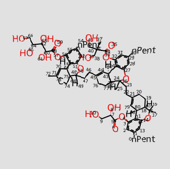 CCCCCc1cc(OC(=O)[C@@H](O)CO)c2c(c1)OC(C)(C)[C@@H]1CCC(CCC3(C)Oc4cc(CCCCC)cc(OC(=O)C(C)(CO)CO)c4[C@@H]4C=C(CCC5(C)Oc6cc(CCCCC)cc(OC(=O)[C@H](O)[C@H](O)[C@H](O)CO)c6[C@@H]6C=C(C)CC[C@H]65)CC[C@H]43)=C[C@@H]21